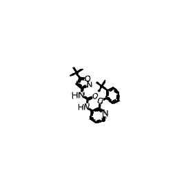 CC(C)(C)c1cc(NC(=O)Nc2cccnc2Oc2ccccc2C(C)(C)C)no1